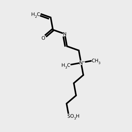 C=CC(=O)N=CC[N+](C)(C)CCCCS(=O)(=O)O